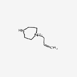 C=CC[N+]1CCNCC1